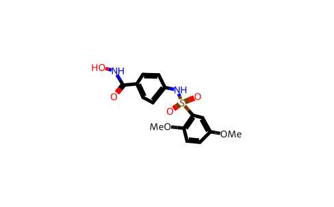 COc1ccc(OC)c(S(=O)(=O)Nc2ccc(C(=O)NO)cc2)c1